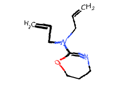 C=CCN(CC=C)C1=NCCCO1